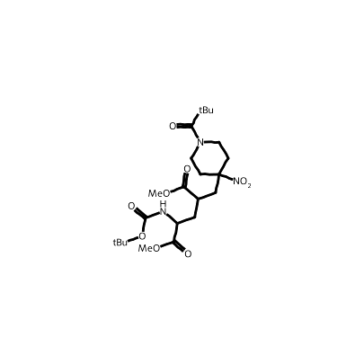 COC(=O)C(CC(NC(=O)OC(C)(C)C)C(=O)OC)CC1([N+](=O)[O-])CCN(C(=O)C(C)(C)C)CC1